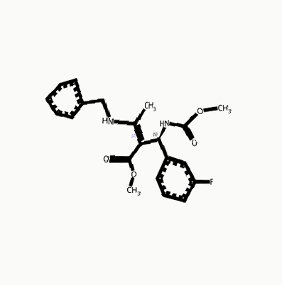 COC(=O)N[C@H](/C(C(=O)OC)=C(\C)NCc1ccccc1)c1cccc(F)c1